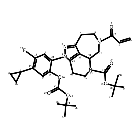 C=CC(=O)N1CCc2nn(-c3cc(F)c(C4CC4)cc3OC(=O)OC(C)(C)C)c3c2C(C1)N(C(=O)OC(C)(C)C)CC3